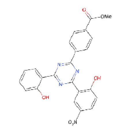 COC(=O)c1ccc(-c2nc(-c3ccccc3O)nc(-c3cc([N+](=O)[O-])ccc3O)n2)cc1